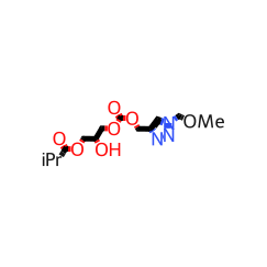 COCn1cc(COC(=O)OCC(O)COC(=O)C(C)C)nn1